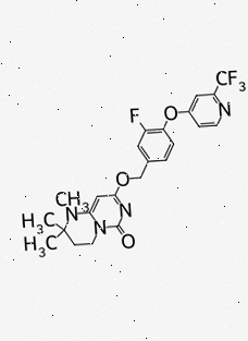 CN1c2cc(OCc3ccc(Oc4ccnc(C(F)(F)F)c4)c(F)c3)nc(=O)n2CCC1(C)C